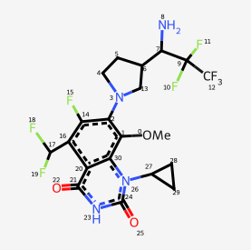 COc1c(N2CCC(C(N)C(F)(F)C(F)(F)F)C2)c(F)c(C(F)F)c2c(=O)[nH]c(=O)n(C3CC3)c12